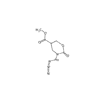 COC(=O)C1COC(=O)N(PN=[N+]=[N-])C1